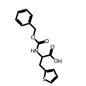 O=C(NC(Cc1cccs1)C(=O)O)OCc1ccccc1